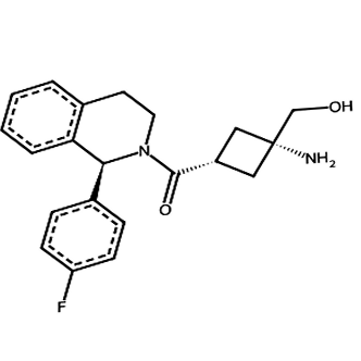 N[C@]1(CO)C[C@H](C(=O)N2CCc3ccccc3[C@@H]2c2ccc(F)cc2)C1